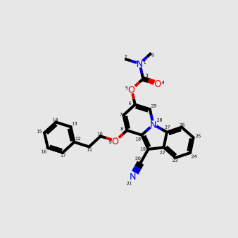 CN(C)C(=O)Oc1cc(OCCc2ccccc2)c2c(C#N)c3ccccc3n2c1